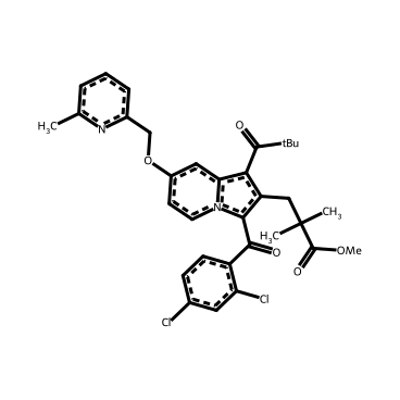 COC(=O)C(C)(C)Cc1c(C(=O)C(C)(C)C)c2cc(OCc3cccc(C)n3)ccn2c1C(=O)c1ccc(Cl)cc1Cl